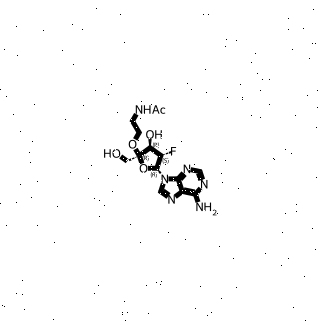 CC(=O)NCCO[C@]1(CO)O[C@@H](n2cnc3c(N)ncnc32)[C@@H](F)[C@@H]1O